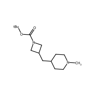 CN1CCC(CC2CN(C(=O)OC(C)(C)C)C2)CC1